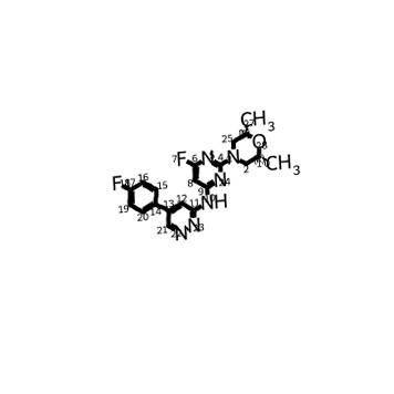 C[C@@H]1CN(c2nc(F)cc(Nc3cc(-c4ccc(F)cc4)cnn3)n2)C[C@H](C)O1